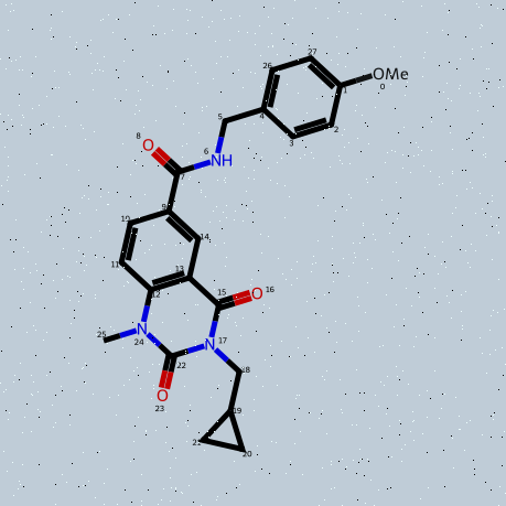 COc1ccc(CNC(=O)c2ccc3c(c2)c(=O)n(CC2CC2)c(=O)n3C)cc1